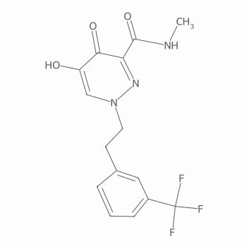 CNC(=O)c1nn(CCc2cccc(C(F)(F)F)c2)cc(O)c1=O